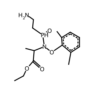 CCOC(=O)C(C)N(Oc1c(C)cccc1C)[PH](=O)CCN